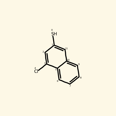 Sc1cc(Cl)c2ccccc2c1